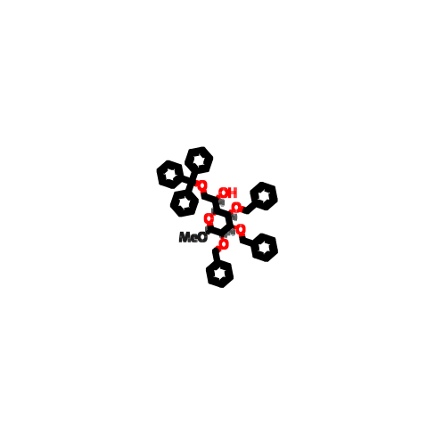 CO[C@H]1O[C@H]([C@H](O)COC(c2ccccc2)(c2ccccc2)c2ccccc2)[C@@H](OCc2ccccc2)[C@H](OCc2ccccc2)[C@@H]1OCc1ccccc1